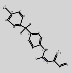 C=CC(=N)/C=C(/C)Nc1ccc(C(C)(C)c2ccc(Cl)cc2)cc1